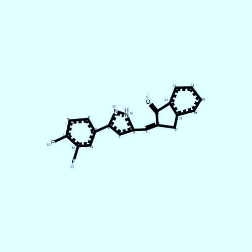 O=C1C(=Cc2cc(-c3ccc(F)c(F)c3)n[nH]2)Cc2ccccc21